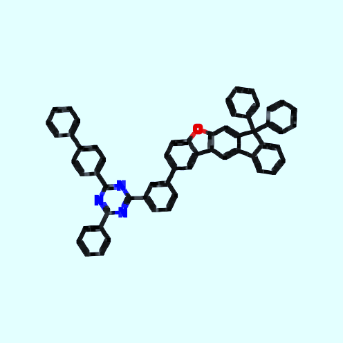 c1ccc(-c2ccc(-c3nc(-c4ccccc4)nc(-c4cccc(-c5ccc6oc7cc8c(cc7c6c5)-c5ccccc5C8(c5ccccc5)c5ccccc5)c4)n3)cc2)cc1